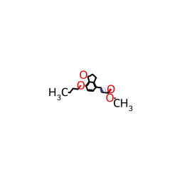 CCCCOc1ccc(/C=C/C(=O)OCC)c2c1C(=O)CC2